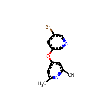 Cc1cc(Oc2cncc(Br)c2)cc(C#N)n1